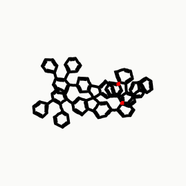 c1ccc(-c2cccc(-c3ccc4c(c3)C3(c5cc(-c6cccc(-c7ccccc7)c6-c6ccccc6)ccc5-4)c4cc(-c5cccc(-c6ccccc6)c5-c5ccccc5)ccc4-c4ccc(-c5cccc(-c6ccccc6)c5-c5ccccc5)cc43)c2-c2ccccc2)cc1